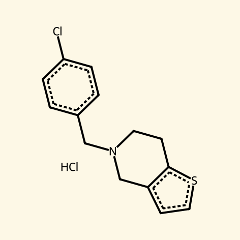 Cl.Clc1ccc(CN2CCc3sccc3C2)cc1